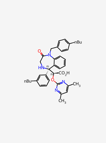 CCCCc1ccc(CN2C(=O)CN[C@](c3cccc(CCCC)c3)([C@H](Oc3nc(C)cc(C)n3)C(=O)O)c3ccccc32)cc1